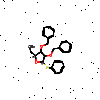 CC(=O)OC[C@@H]1O[C@@H](Sc2ccccc2)C(OCc2ccccc2)C1OCc1ccccc1